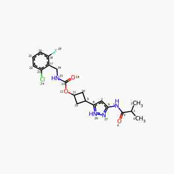 CC(C)C(=O)Nc1cc(C2CC(OC(=O)NCc3c(F)cccc3Cl)C2)[nH]n1